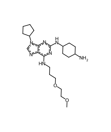 COCCOCCCNc1nc(NC2CCC(N)CC2)nc2c1ncn2C1CCCC1